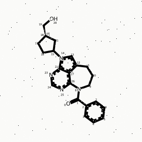 O=C(c1ccccc1)N1CCCc2cn(C3CC[C@@H](CO)C3)c3ncnc1c23